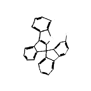 Brc1ccc2c(c1)C1(c3ccccc3-2)c2ccccc2-c2c1oc1ccccc21